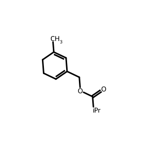 CC1=CC(COC(=O)C(C)C)=CCC1